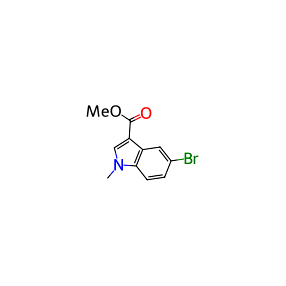 COC(=O)c1cn(C)c2ccc(Br)cc12